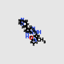 C[C@]1(N2CCCC2=O)C[C@H](Nc2ncc3c(-c4ccc5nccn5c4)c[nH]c3n2)C1